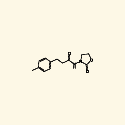 Cc1ccc(CCC(=O)NN2CCOC2=O)cc1